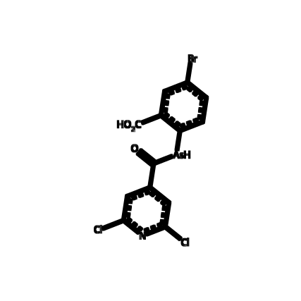 O=C([AsH]c1ccc(Br)cc1C(=O)O)c1cc(Cl)nc(Cl)c1